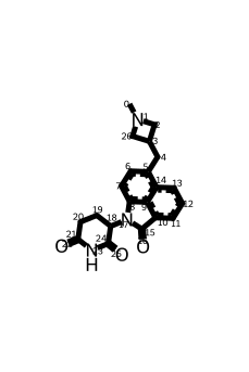 CN1CC(Cc2ccc3c4c(cccc24)C(=O)N3C2CCC(=O)NC2=O)C1